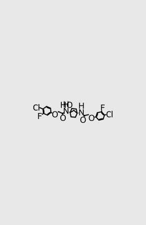 O=C(COc1ccc(Cl)c(F)c1)N[C@]12CC[C@](NC(=O)COc3ccc(Cl)c(F)c3)(C1)[C@@H](O)C2